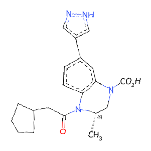 C[C@H]1CN(C(=O)O)c2cc(-c3cn[nH]c3)ccc2N1C(=O)CC1CCCC1